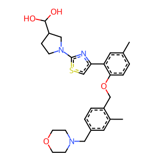 Cc1ccc(OCc2ccc(CN3CCOCC3)cc2C)c(-c2csc(N3CCC(C(O)O)C3)n2)c1